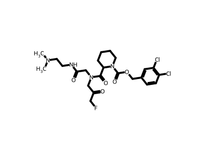 CN(C)CCNC(=O)CN(CC(=O)CF)C(=O)C1CCCCN1C(=O)OCc1ccc(Cl)c(Cl)c1